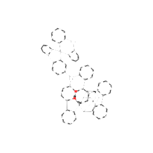 c1ccc(-c2ccccc2-c2ccccc2-c2ccccc2N(c2ccc3c(c2)C2(c4ccccc4Oc4ccccc42)c2ccccc2-3)c2ccc3c(c2)C2(c4ccccc4-3)C3CC4CC(C3)CC2C4)cc1